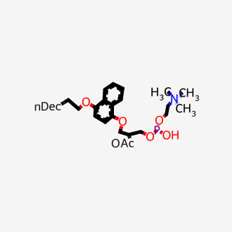 CCCCCCCCCCCCOc1ccc(OCC(COP(O)OCC[N+](C)(C)C)OC(C)=O)c2ccccc12